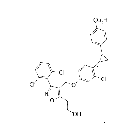 O=C(O)c1ccc(C2CC2c2ccc(OCc3c(-c4c(Cl)cccc4Cl)noc3CCO)cc2Cl)cc1